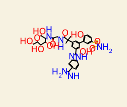 CC(C)(C(=O)NCC(=O)NC1C(O)OC(CO)C(O)C1O)c1cc(-c2nc3cc(C(=N)N)ccc3[nH]2)c(O)c(-c2cc(S(N)(=O)=O)ccc2O)c1